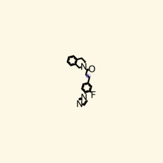 O=C(/C=C/c1ccc(-n2ccnc2)c(F)c1)N1CCc2ccccc2C1